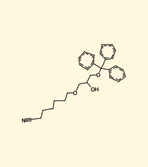 N#CCCCCCCOCC(O)COC(c1ccccc1)(c1ccccc1)c1ccccc1